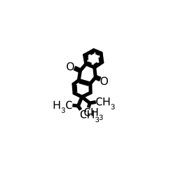 CC(C)C1(C(C)C)C=CC2=C(C1)C(=O)c1ccccc1C2=O